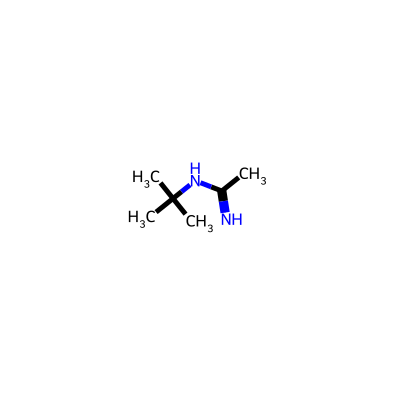 CC(=N)NC(C)(C)C